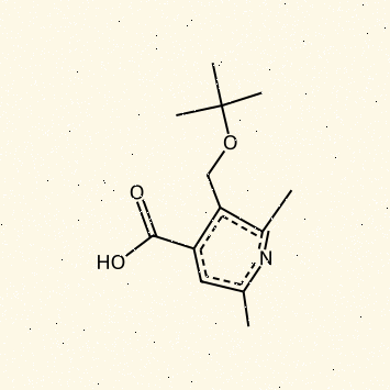 Cc1cc(C(=O)O)c(COC(C)(C)C)c(C)n1